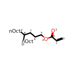 C=CC(=O)OCCCC(CCCCCCCC)CCCCCCCC